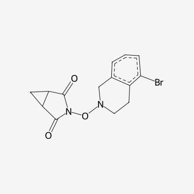 O=C1C2CC2C(=O)N1ON1CCc2c(Br)cccc2C1